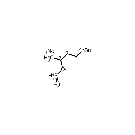 CCCCCCC(C)O[PH2]=O.[Nd]